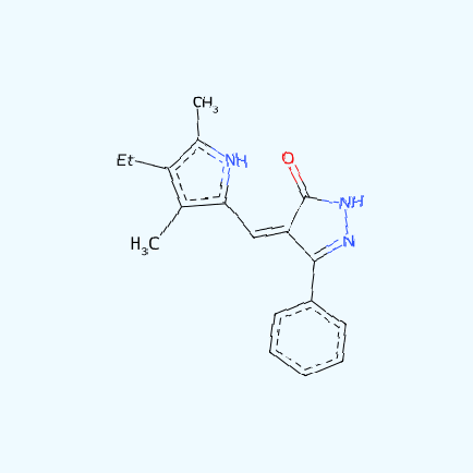 CCc1c(C)[nH]c(C=C2C(=O)NN=C2c2ccccc2)c1C